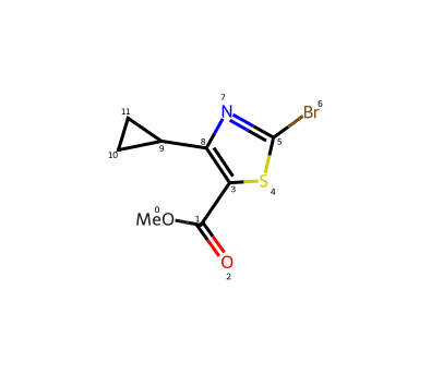 COC(=O)c1sc(Br)nc1C1CC1